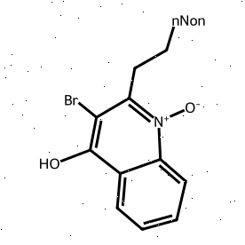 CCCCCCCCCCCc1c(Br)c(O)c2ccccc2[n+]1[O-]